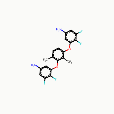 Nc1cc(F)c(F)c(Oc2ccc(C(F)(F)F)c(Oc3cc(N)cc(F)c3F)c2C(F)(F)F)c1